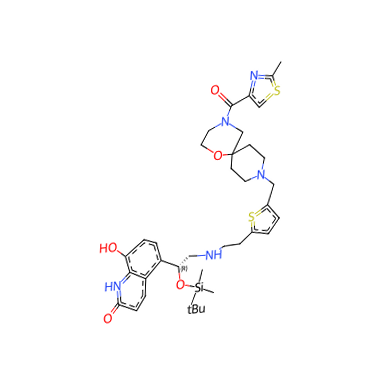 Cc1nc(C(=O)N2CCOC3(CCN(Cc4ccc(CCNC[C@H](O[Si](C)(C)C(C)(C)C)c5ccc(O)c6[nH]c(=O)ccc56)s4)CC3)C2)cs1